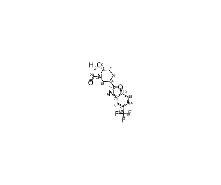 C[C@@H]1CC[C@@H](c2nc3cc(C(F)(F)F)ccc3o2)CN1C=O